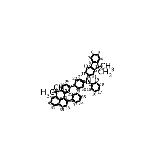 CC1(C)c2ccccc2-c2ccc(N(c3ccccc3)c3ccc(-c4ccc5c(c4)-c4c(-c6ccccc6)ccc6cccc(c46)C5(C)C)cc3)cc21